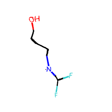 OCC[N]C(F)F